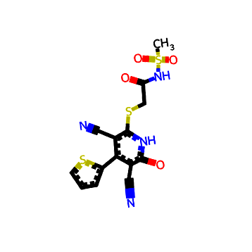 CS(=O)(=O)NC(=O)CSc1[nH]c(=O)c(C#N)c(-c2cccs2)c1C#N